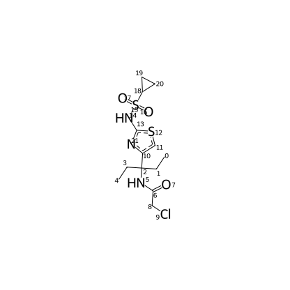 CCC(CC)(NC(=O)CCl)c1csc(NS(=O)(=O)C2CC2)n1